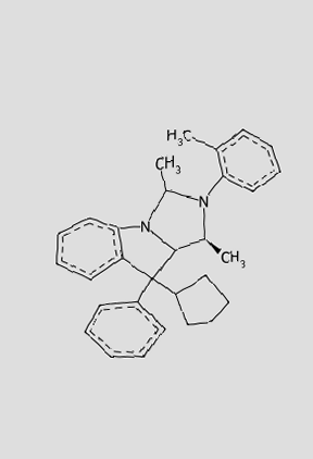 Cc1ccccc1N1C(C)N2c3ccccc3C(c3ccccc3)(C3CCCC3)C2[C@@H]1C